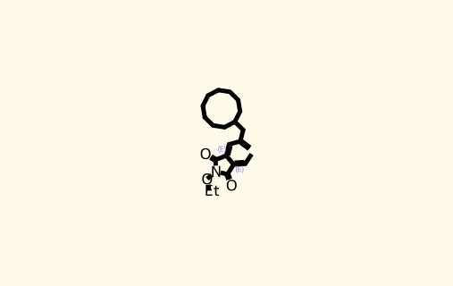 C=C(/C=C1/C(=O)N(OCC)C(=O)/C1=C/C)CC1CCCCCCCCC1